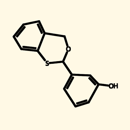 Oc1cccc(C2OCc3ccccc3S2)c1